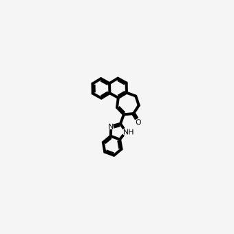 O=C1CCc2ccc3ccccc3c2C=C1c1nc2ccccc2[nH]1